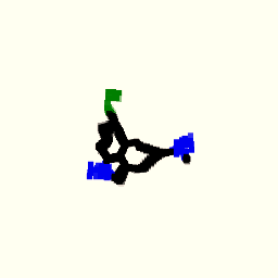 CNC1Cc2c[nH]c3ccc(F)c(c23)C1